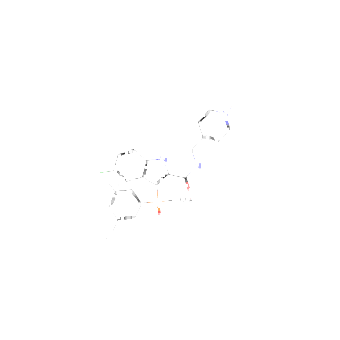 COP(=O)(c1cc(C)cc(C)c1)c1c(C(=O)NCc2cc[n+](O)cc2)[nH]c2ccc(Cl)cc12